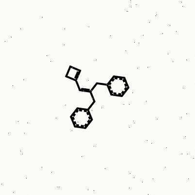 [C](=C(Cc1ccccc1)Cc1ccccc1)C1=CCC1